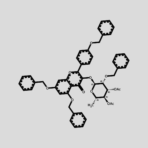 CC(=O)O[C@@H]1[C@@H](OC(C)=O)[C@H](C)O[C@@H](Oc2c(-c3ccc(OCc4ccccc4)cc3)oc3cc(OCc4ccccc4)cc(OCc4ccccc4)c3c2=O)[C@@H]1OCc1ccccc1